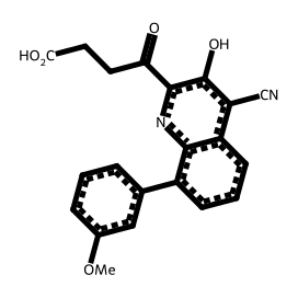 COc1cccc(-c2cccc3c(C#N)c(O)c(C(=O)CCC(=O)O)nc23)c1